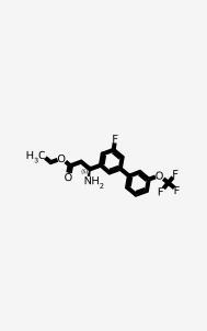 CCOC(=O)C[C@H](N)c1cc(F)cc(-c2cccc(OC(F)(F)F)c2)c1